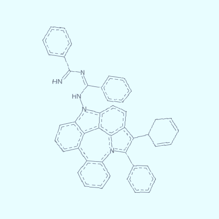 N=C(/N=C(\Nn1c2cccc3c4ccccc4n4c(-c5ccccc5)c(C5C=CC=CC5)c5ccc1c(c32)c54)c1ccccc1)c1ccccc1